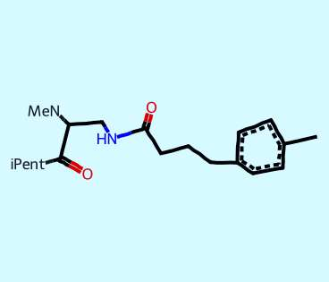 CCCC(C)C(=O)C(CNC(=O)CCCc1ccc(C)cc1)NC